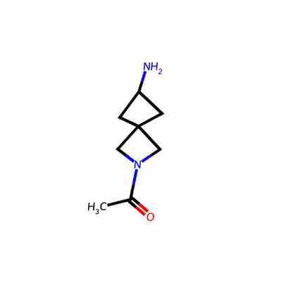 CC(=O)N1CC2(CC(N)C2)C1